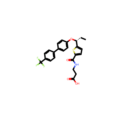 CC[C@@H](Oc1ccc(-c2ccc(C(F)(F)F)cc2)cc1)c1ccc(C(=O)NCCC(=O)O)s1